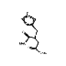 CNC(=O)CC(Cc1c[nH]cn1)C(=O)OC